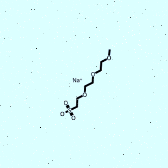 COCCOCCOCCS(=O)(=O)[O-].[Na+]